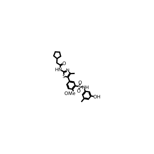 COc1ccc(-c2sc(NC(=O)CC3CCCC3)nc2C)cc1S(=O)(=O)Nc1cc(C)cc(O)c1